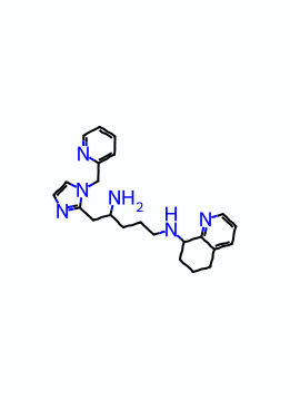 NC(CCCNC1CCCc2cccnc21)Cc1nccn1Cc1ccccn1